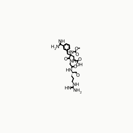 COC(=O)NC(CCC(=O)O)(Cc1cccc(C(=N)N)c1)C(=O)NCC(=O)N[C@H](C=O)CCCNC(=N)N